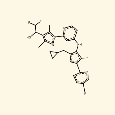 Cc1nn(-c2cc(Nc3c(C)c(-c4ccc(F)cc4)nn3CC3CC3)ncn2)c(C)c1C(O)C(F)F